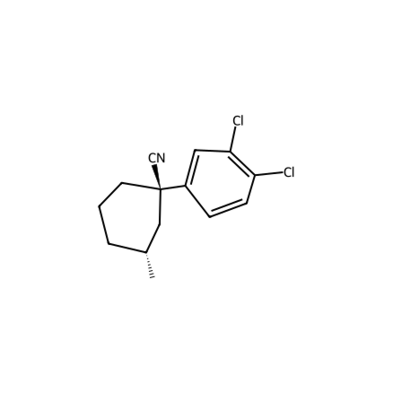 C[C@@H]1CCC[C@](C#N)(c2ccc(Cl)c(Cl)c2)C1